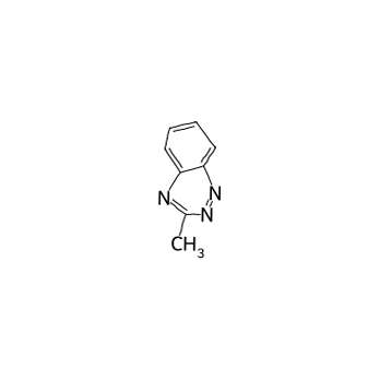 Cc1nnc2ccccc2n1